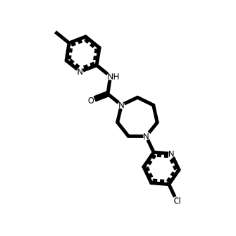 Cc1ccc(NC(=O)N2CCCN(c3ccc(Cl)cn3)CC2)nc1